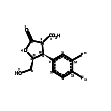 O=C(O)N1C(=O)O[C@H](CO)[C@H]1c1ccc(F)c(F)c1